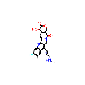 CCNC/C=C/c1c2c(nc3cc(F)c(C)cc13)-c1cc3c(c(=O)n1C2)COC(=O)C3O